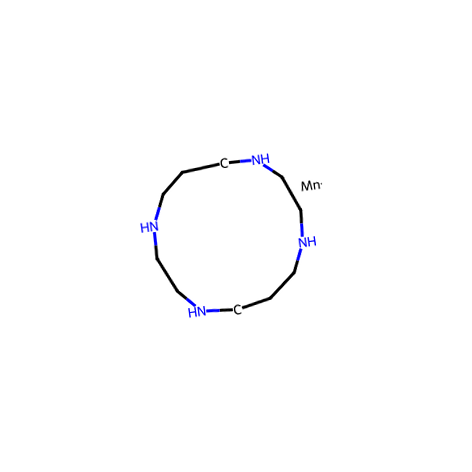 C1CNCCNCCCNCCNC1.[Mn]